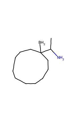 BC1(C(C)N)CCCCCCCCCC1